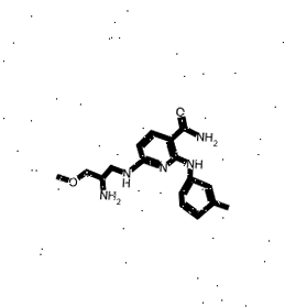 COCC(N)CNc1ccc(C(N)=O)c(Nc2cccc(C)c2)n1